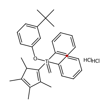 Cl.Cl.[CH2]=[Ti]([O]c1cccc(C(C)(C)C)c1)([C]1=C(C)C(C)=C(C)C1C)([c]1ccccc1)[c]1ccccc1